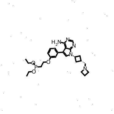 CCOP(CCOc1cccc(-c2cn([C@H]3C[C@@H](CN4CCC4)C3)c3ncnc(N)c23)c1)OCC